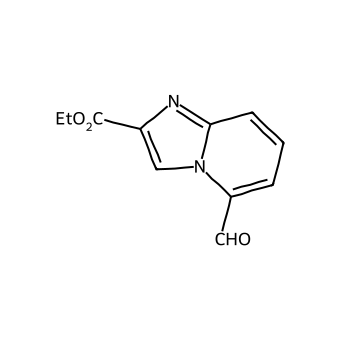 CCOC(=O)c1cn2c(C=O)cccc2n1